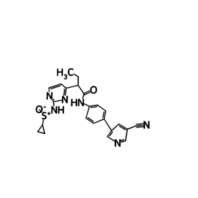 CCC(C(=O)Nc1ccc(-c2cncc(C#N)c2)cc1)c1ccnc(N[S+]([O-])C2CC2)n1